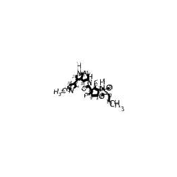 CCCS(=O)(=O)Nc1ccc(F)c(C(=O)Nc2cnc3[nH]cc(-c4cnn(C)c4)c3c2)c1F